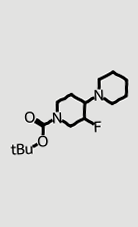 CC(C)(C)OC(=O)N1CCC(N2CCCCC2)C(F)C1